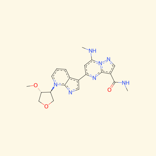 CNC(=O)c1cnn2c(NC)cc(-c3cnc4n([C@H]5COC[C@@H]5OC)cccc3-4)nc12